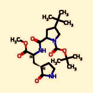 COC(=O)[C@H](C[C@@H]1CCNC1=O)NC(=O)C1CC(C(C)(C)C)CN1C(=O)OC(C)(C)C